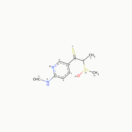 CC(C(=S)c1ccc(NC=O)nc1)[S+](C)[O-]